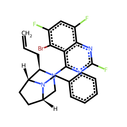 C=CC[C@@H]1[C@H]2CC[C@@H](CN1c1nc(F)nc3c(F)cc(F)c(Br)c13)N2Cc1ccccc1